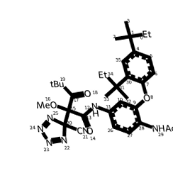 CCC(C)(C)c1ccc(Oc2cc(NC(=O)C(OC)(C(=O)C(C)(C)C)C3(C#N)N=NN=N3)ccc2NC(C)=O)c(C(C)(C)CC)c1